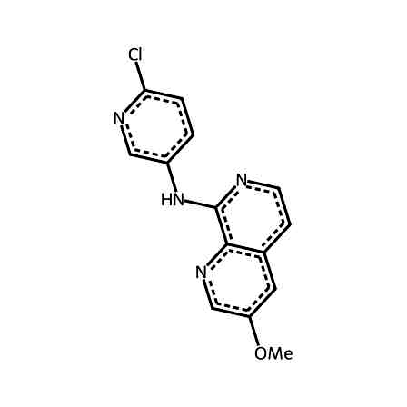 COc1cnc2c(Nc3ccc(Cl)nc3)nccc2c1